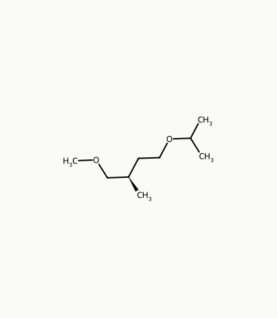 COC[C@H](C)CCOC(C)C